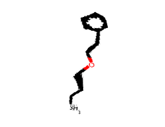 [SiH3]CC=COCCc1ccccc1